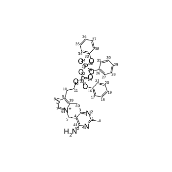 Cc1ncc(C[n+]2csc(CCOP(=O)(Oc3ccccc3)OP(=O)(Oc3ccccc3)Oc3ccccc3)c2C)c(N)n1